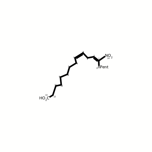 CCCCC/C(=C\C/C=C\CCCCCCCC(=O)O)[N+](=O)[O-]